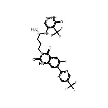 C[C@@H](CCCn1c(=O)[nH]c2cc(-c3ncc(C(F)(F)F)cn3)c(F)cc2c1=O)Nc1cn[nH]c(=O)c1C(F)(F)F